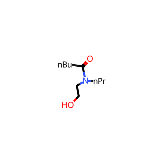 CCCCC(=O)N(CCC)CCO